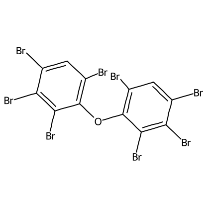 Brc1cc(Br)c(Oc2c(Br)cc(Br)c(Br)c2Br)c(Br)c1Br